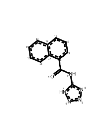 O=C(Nc1nnn[nH]1)c1cccc2ccccc12